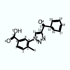 Cc1ccc(C(=O)O)cc1-n1cc(C(=O)c2ccccc2)nn1